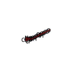 CCOCCOCCOCCOCCOCCOCCC(=O)NCCOCCOCCOCCNS(=O)(=O)c1ccc(C2CN(C)Cc3c(Cl)cc(Cl)cc32)cc1